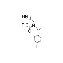 O=C(N(CC1CNC1)C1CC1c1ccc(I)cc1)C(F)(F)F